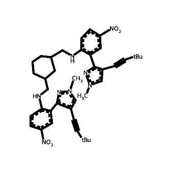 Cn1cc(C#CC(C)(C)C)c(-c2cc([N+](=O)[O-])ccc2NCC2CCCC(CNc3ccc([N+](=O)[O-])cc3-c3nn(C)cc3C#CC(C)(C)C)C2)n1